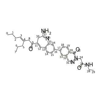 CCC/C=C(\CCC)CC(=O)C1=Cc2ccc(-c3ccc4c(=O)n(CC(=O)NCC)ncc4c3)cc2N=C(N)C1